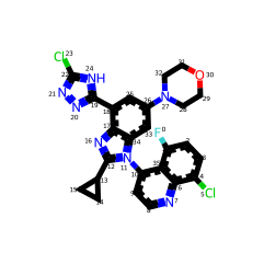 Fc1ccc(Cl)c2nccc(-n3c(C4CC4)nc4c(-c5nnc(Cl)[nH]5)cc(N5CCOCC5)cc43)c12